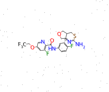 NC1=N[C@@]2(c3cc(NC(=O)c4ncc(OCC(F)(F)F)cc4F)ccc3F)COCC2CS1